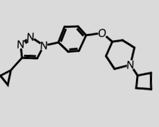 c1cc(-n2cc(C3CC3)nn2)ccc1OC1CCN(C2CCC2)CC1